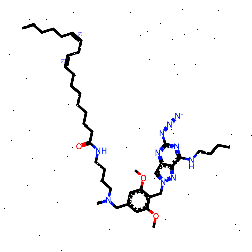 CCCCC/C=C\C/C=C\CCCCCCCC(=O)NCCCCN(C)Cc1cc(OC)c(Cn2cc3nc(N=[N+]=[N-])nc(NCCCC)c3n2)c(OC)c1